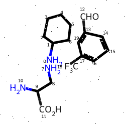 NC1CCCCC1.NCC(N)C(=O)O.O=Cc1cccc(C(F)(F)F)c1